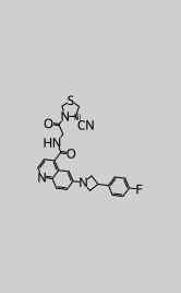 N#C[C@@H]1CSCN1C(=O)CNC(=O)c1ccnc2ccc(N3CC(c4ccc(F)cc4)C3)cc12